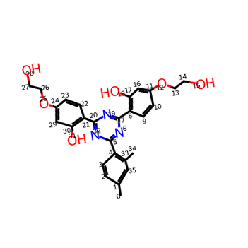 Cc1ccc(-c2nc(-c3ccc(OCCO)cc3O)nc(-c3ccc(OCCO)cc3O)n2)c(C)c1